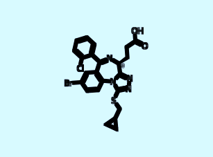 O=C(O)CC[C@@H]1N=C(c2ccccc2Cl)c2cc(Br)ccc2-n2c(SCC3CC3)nnc21